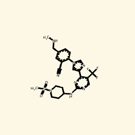 CNCc1ccc(-n2cnc(-c3nc(NC4CCN(S(C)(=O)=O)CC4)ncc3C(F)(F)F)c2)c(C#N)c1